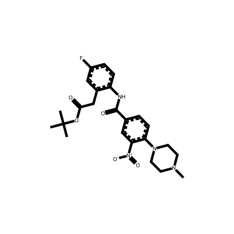 CN1CCN(c2ccc(C(=O)Nc3ccc(F)cc3CC(=O)OC(C)(C)C)cc2[N+](=O)[O-])CC1